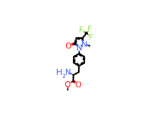 COC(=O)[C@@H](N)Cc1ccc(-n2c(=O)cc(C(F)(F)F)n2C)cc1